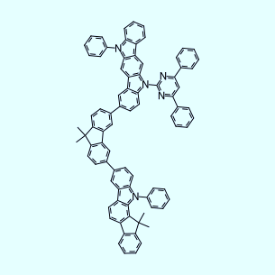 CC1(C)c2ccc(-c3ccc4c(c3)c3cc5c(cc3n4-c3nc(-c4ccccc4)cc(-c4ccccc4)n3)c3ccccc3n5-c3ccccc3)cc2-c2cc(-c3ccc4c(c3)c3ccc5c(c3n4-c3ccccc3)C(C)(C)c3ccccc3-5)ccc21